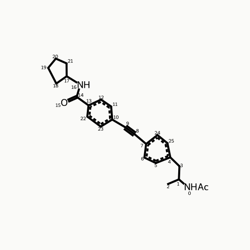 CC(=O)NC(C)Cc1ccc(C#Cc2ccc(C(=O)NC3CCCC3)cc2)cc1